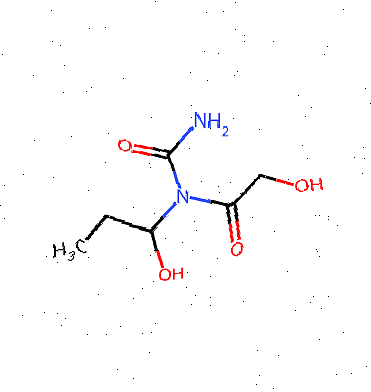 CCC(O)N(C(N)=O)C(=O)CO